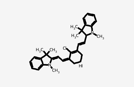 CN1C(=CC=C2CCCC(C=CC3N(C)c4ccccc4C3(C)C)=C2Cl)C(C)(C)c2ccccc21.I